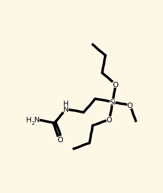 CCCO[Si](CCNC(N)=O)(OC)OCCC